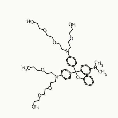 CCCOCCN(CCOCCOCCO)c1ccc(C(Oc2ccccc2)(c2ccc(N(C)C)cc2)c2ccc(N(CCOCCO)CCOCCOCCO)cc2)cc1